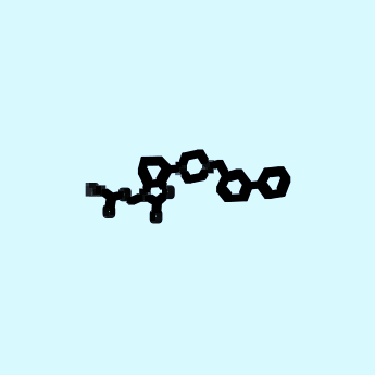 CCC(C)C(=O)OCn1c(=O)oc2c(N3CCN(Cc4cccc(-c5ccccc5)c4)CC3)cccc21